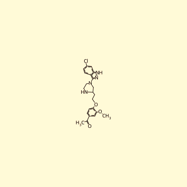 COc1cc(C(C)=O)ccc1OCCC1CN(c2n[nH]c3cc(Cl)ccc23)CCN1